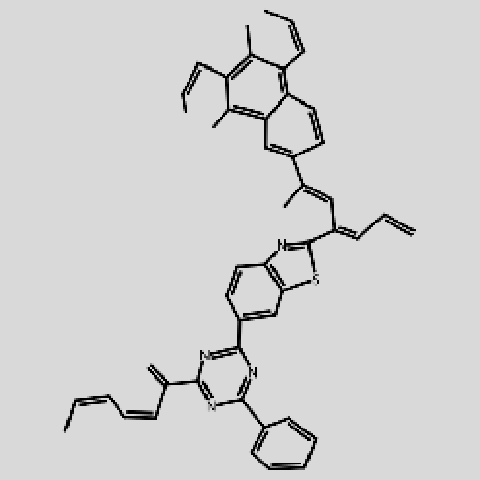 C=C/C=C(\C=C(/C)c1ccc2c(/C=C\C)c(C)c(/C=C\C)c(C)c2c1)c1nc2ccc(-c3nc(C(=C)/C=C\C=C/C)nc(-c4ccccc4)n3)cc2s1